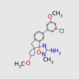 COc1cc(Cl)cc(-c2ccc3c(c2)C2(N=C(N)N(C)O2)C2(CCC(OC)CC2)C3)c1